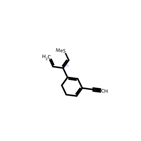 C#CC1=CCCC(/C(C=C)=C/SC)=C1